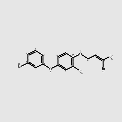 Clc1cc(Oc2cccc(Br)c2)ccc1OCC=C(Br)Br